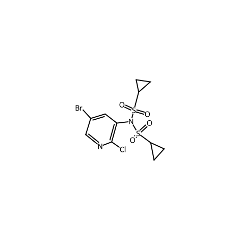 O=S(=O)(C1CC1)N(c1cc(Br)cnc1Cl)S(=O)(=O)C1CC1